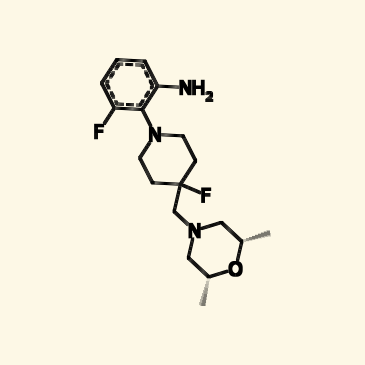 C[C@@H]1CN(CC2(F)CCN(c3c(N)cccc3F)CC2)C[C@H](C)O1